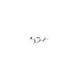 C=C(N)c1ccc(C(C)=C(C)C)cc1N